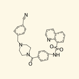 N#Cc1ccc(CN2CCN(C(=O)c3ccc(NS(=O)(=O)c4cccc5cccnc45)cc3)CC2)cc1